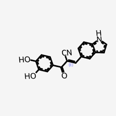 N#C/C(=C\c1ccc2[nH]ccc2c1)C(=O)c1ccc(O)c(O)c1